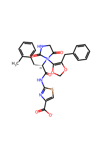 Cc1ccccc1C[C@@H](C(=O)Nc1nc(C(=O)[O-])cs1)[N+]1(C2=C(Cc3ccccc3)OCO2)C(=O)CNC1=O